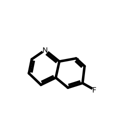 Fc1c[c]c2ncccc2c1